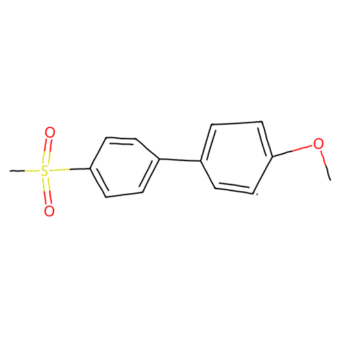 COc1[c]cc(-c2ccc(S(C)(=O)=O)cc2)cc1